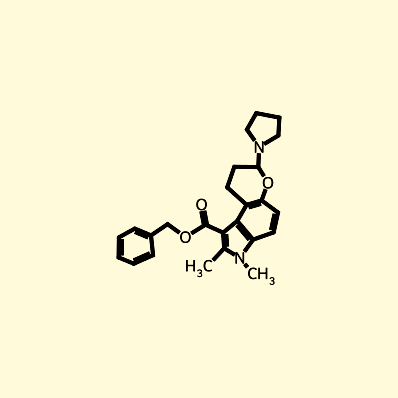 Cc1c(C(=O)OCc2ccccc2)c2c3c(ccc2n1C)OC(N1CCCC1)CC3